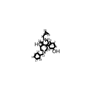 Cc1ccc(O)cc1C12CCN(Cc3ccccc3)CCC1(O)C(C)N(CC1CC1)CC2